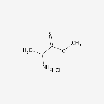 COC(=S)C(C)N.Cl